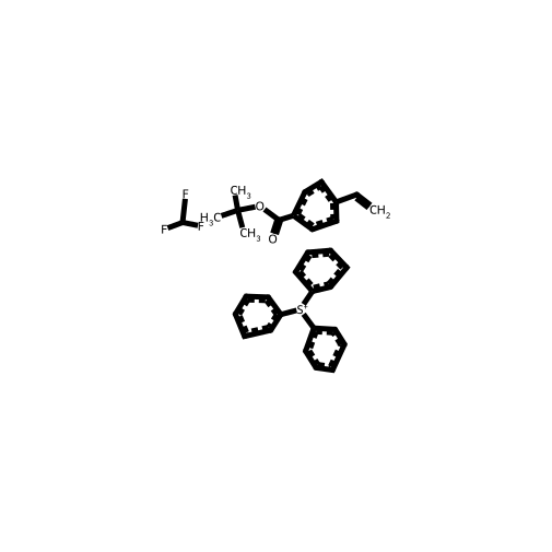 C=Cc1ccc(C(=O)OC(C)(C)C)cc1.FC(F)F.c1ccc([S+](c2ccccc2)c2ccccc2)cc1